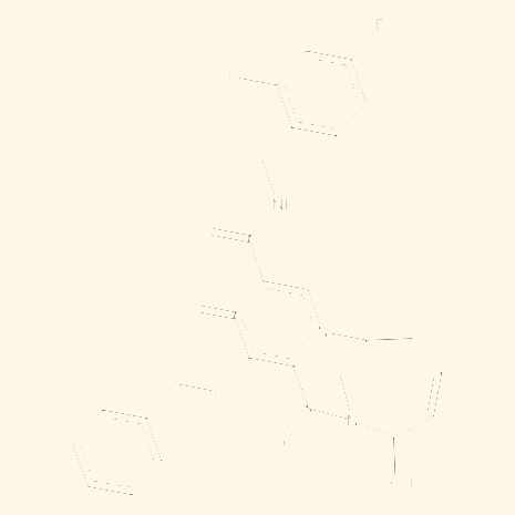 CC1C=CCC2CN1C(=O)c1c(OCc3ccccc3)c(=O)c(C(=O)NCc3ccc(F)cc3F)cn12